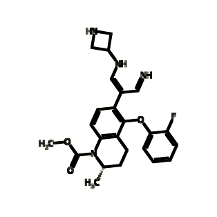 COC(=O)N1c2ccc(/C(C=N)=C/NC3CNC3)c(Oc3ccccc3F)c2CC[C@@H]1C